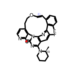 CC(C)c1nccc2c1-n1c(=O)nc(N3CCCC[C@@H]3C)c3cc(F)c(nc31)-c1c(F)cccc1/C=C/OCC2